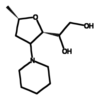 C[C@H]1CC(N2CCCCC2)[C@@H](C(O)CO)O1